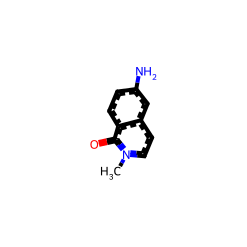 Cn1ccc2cc(N)ccc2c1=O